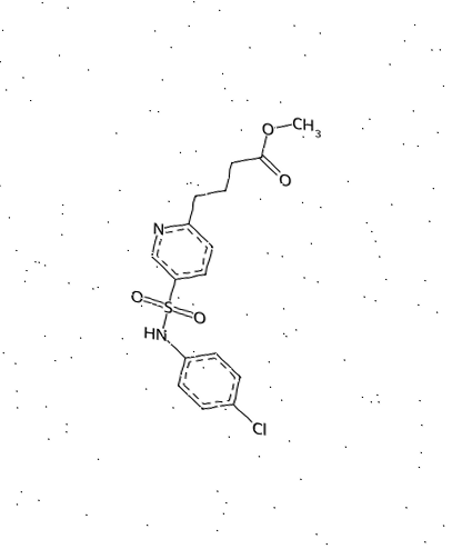 COC(=O)CCCc1ccc(S(=O)(=O)Nc2ccc(Cl)cc2)cn1